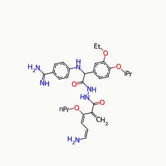 C=C(C(=O)NNC(=O)C(Nc1ccc(C(=N)N)cc1)c1ccc(OC(C)C)c(OCC)c1)/C(=C\C=C/N)OCCC